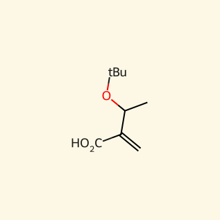 C=C(C(=O)O)C(C)OC(C)(C)C